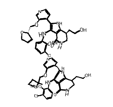 COc1c(Cl)cccc1Nc1c(-c2ccncc2OCC2(C)CCO2)[nH]c2c1C(=O)NCC2CCO.COc1c(Cl)cccc1Nc1c(-c2ccncc2OC[C@@H]2CCCO2)[nH]c2c1C(=O)NC[C@@H]2CCO